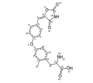 Cc1cc(Oc2ccc(C=C3OC(=O)NC3=O)cc2)ccc1CC(N)C(=O)O